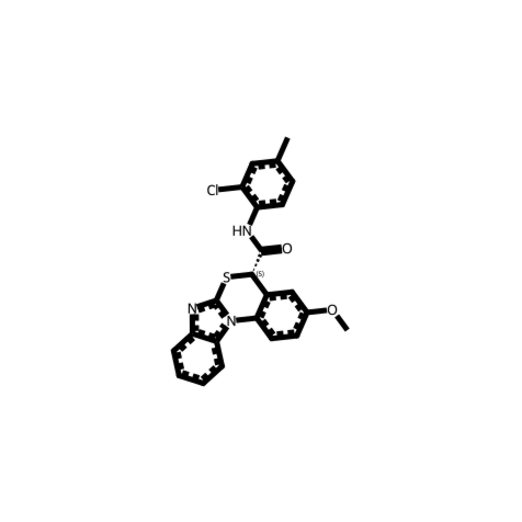 COc1ccc2c(c1)[C@@H](C(=O)Nc1ccc(C)cc1Cl)Sc1nc3ccccc3n1-2